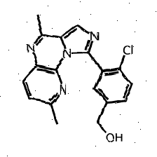 Cc1ccc2nc(C)c3cnc(-c4cc(CO)ccc4Cl)n3c2n1